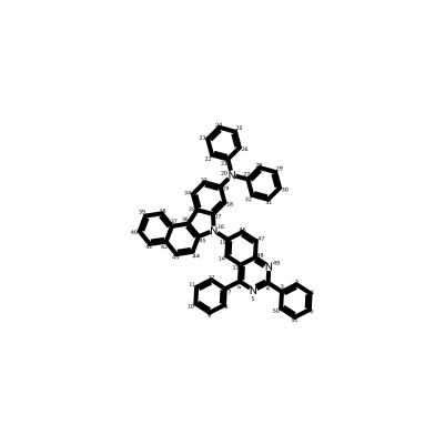 c1ccc(-c2nc(-c3ccccc3)c3cc(-n4c5cc(N(c6ccccc6)c6ccccc6)ccc5c5c6ccccc6ccc54)ccc3n2)cc1